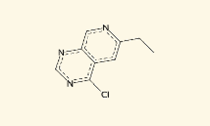 CCc1cc2c(Cl)ncnc2cn1